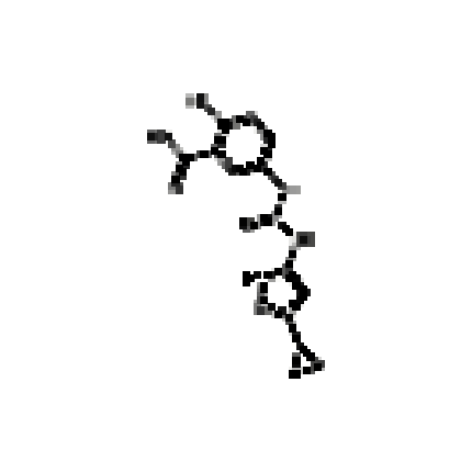 O=C(Nc1ccc(O)c(C(=O)O)c1)Nc1cc(C2CC2)n[nH]1